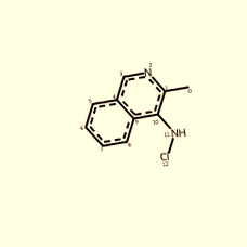 Cc1ncc2ccccc2c1NCl